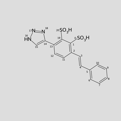 O=S(=O)(O)c1c(C=Cc2ccccc2)ccc(-c2c[nH]nn2)c1S(=O)(=O)O